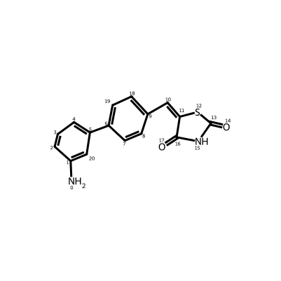 Nc1cccc(-c2ccc(C=C3SC(=O)NC3=O)cc2)c1